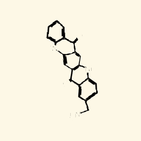 NCc1ccc2[nH]c3cc4c(=O)c5ccccc5[nH]c4cc3c(=O)c2c1